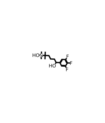 CC(C)(CCCC(O)c1cc(F)c(F)c(F)c1)[Si](C)(C)O